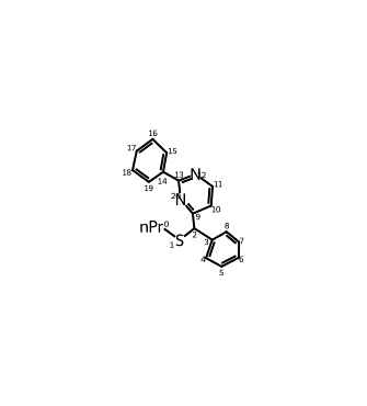 CCCSC(c1ccccc1)c1ccnc(-c2ccccc2)n1